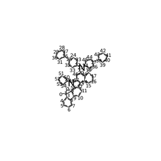 CC1(C)c2ccccc2-c2ccc3c4c5ccccc5c(N(c5ccc(-c6ccccc6)cc5)c5ccc(-c6ccccc6)cc5)cc4n(-c4ccccc4)c3c21